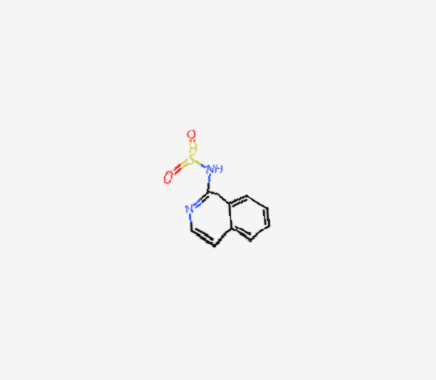 O=[SH](=O)Nc1nccc2ccccc12